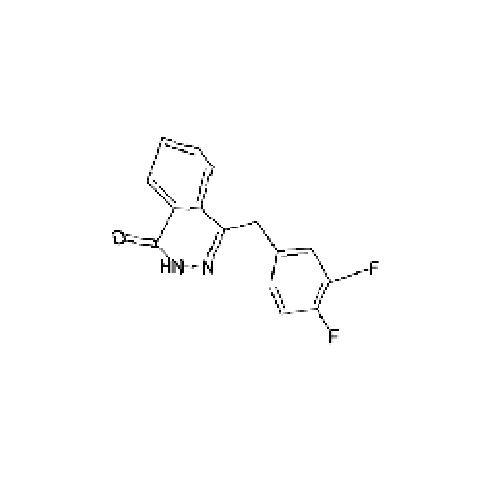 O=c1[nH]nc(Cc2ccc(F)c(F)c2)c2ccccc12